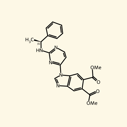 COC(=O)c1cc2ncn(-c3ccnc(N[C@@H](C)c4ccccc4)n3)c2cc1C(=O)OC